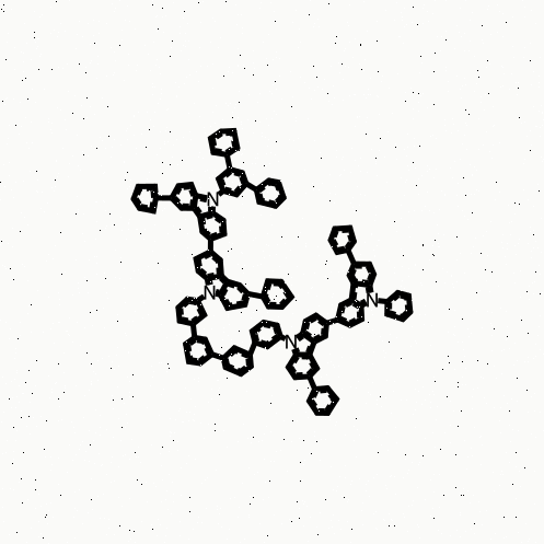 c1ccc(-c2cc(-c3ccccc3)cc(-n3c4ccc(-c5ccccc5)cc4c4cc(-c5ccc6c(c5)c5cc(-c7ccccc7)ccc5n6-c5cccc(-c6cccc(-c7cccc(-c8cccc(-n9c%10ccc(-c%11ccccc%11)cc%10c%10cc(-c%11ccc%12c(c%11)c%11cc(-c%13ccccc%13)ccc%11n%12-c%11ccccc%11)ccc%109)c8)c7)c6)c5)ccc43)c2)cc1